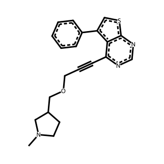 CN1CCC(COCC#Cc2ncnc3scc(-c4ccccc4)c23)C1